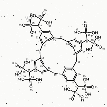 O=P(O)(O)C(c1cc2cc(c1)Cc1cc(cc(C(P(=O)(O)O)P(=O)(O)O)c1)Cc1cc(cc(C(P(=O)(O)O)P(=O)(O)O)c1)Cc1cc(cc(C(P(=O)(O)O)P(=O)(O)O)c1)C2)P(=O)(O)O